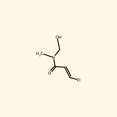 CC/C=C/C(=O)N(C)CO